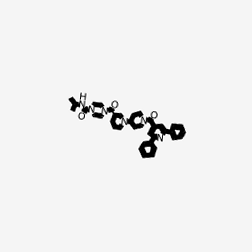 CC(C)NC(=O)N1CCN(C(=O)[C@@H]2CCCN(C3CCN(C(=O)c4cc(-c5ccccc5)nc(-c5ccccc5)c4)CC3)C2)CC1